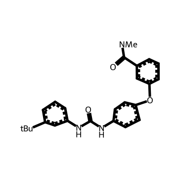 CNC(=O)c1cccc(Oc2ccc(NC(=O)Nc3cccc(C(C)(C)C)c3)cc2)c1